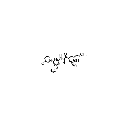 CCCCCC(CN(O)C=O)C(=O)NNc1nc(CC)nc(N2CCCC(O)C2)n1